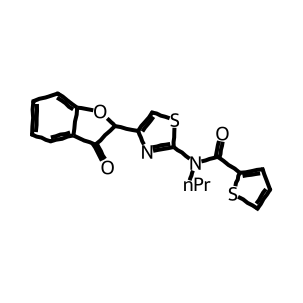 CCCN(C(=O)c1cccs1)c1nc(C2Oc3ccccc3C2=O)cs1